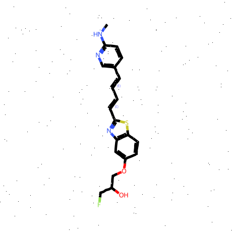 CNc1ccc(/C=C/C=C/c2nc3cc(OCC(O)CF)ccc3s2)cn1